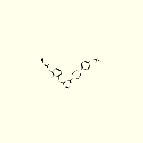 C/C(=N\C#N)Nc1cccc(Nc2ncnc(N3CCN(c4ccc(OC(F)(F)F)cc4)CC3)n2)c1C